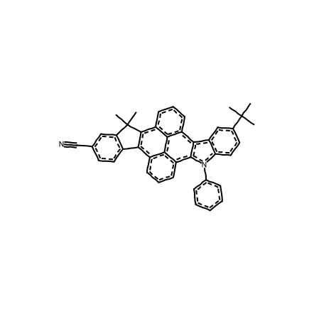 CC(C)(C)c1ccc2c(c1)c1c3cccc4c5c(c6cccc(c6c43)c1n2-c1ccccc1)-c1ccc(C#N)cc1C5(C)C